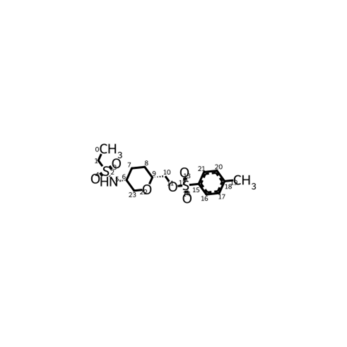 CCS(=O)(=O)N[C@@H]1CC[C@H](COS(=O)(=O)c2ccc(C)cc2)OC1